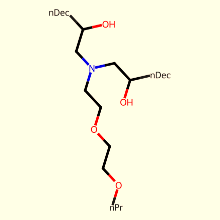 CCCCCCCCCCC(O)CN(CCOCCOCCC)CC(O)CCCCCCCCCC